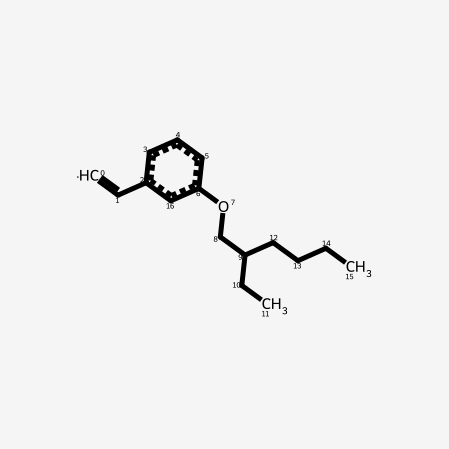 [CH]=Cc1[c]ccc(OCC(CC)CCCC)c1